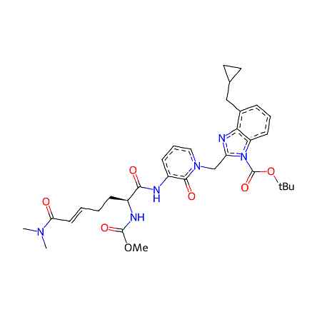 COC(=O)N[C@@H](CC/C=C/C(=O)N(C)C)C(=O)Nc1cccn(Cc2nc3c(CC4CC4)cccc3n2C(=O)OC(C)(C)C)c1=O